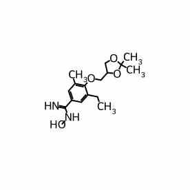 CCc1cc(C(=N)NO)cc(C)c1OCC1COC(C)(C)O1